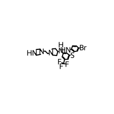 FC(F)(F)c1cc(NC2CCN(CCN3CCNCC3)CC2)c2c(c1)Sc1cc(Br)ccc1N2